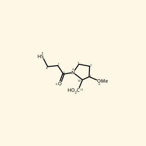 COC1CCN(C(=O)CCS)C1C(=O)O